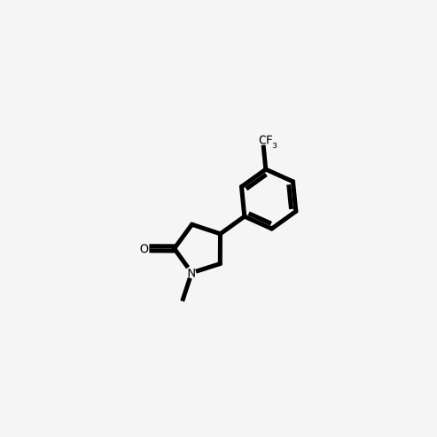 CN1CC(c2cccc(C(F)(F)F)c2)CC1=O